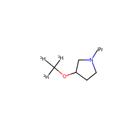 [2H]C([2H])([2H])OC1CCN(C(C)C)C1